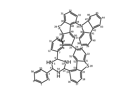 c1ccc(C2NC(c3ccccc3)NC(c3cccc4sc5ccc(-c6ccc7sc8cccc(-n9c%10ccccc%10c%10ccccc%109)c8c7c6)cc5c34)N2)cc1